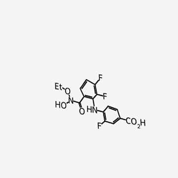 CCON(O)C(=O)c1ccc(F)c(F)c1Nc1ccc(C(=O)O)cc1F